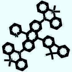 CC1(C)c2ccccc2-c2ccc(-c3c4cc(N5c6ccccc6[Si](C)(C)c6ccccc65)ccc4c(-c4ccccn4)c4cc(N5c6ccccc6[Si](C)(C)c6ccccc65)ccc34)cc21